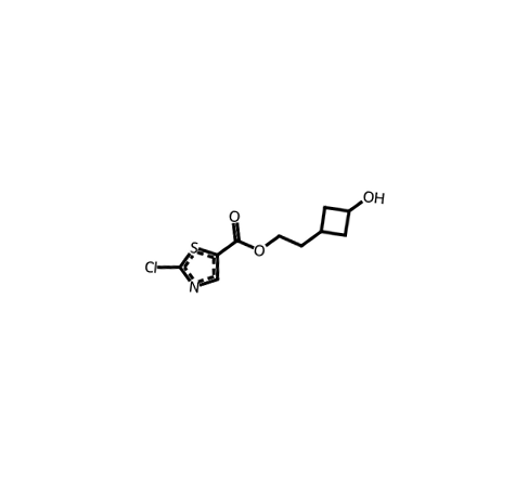 O=C(OCCC1CC(O)C1)c1cnc(Cl)s1